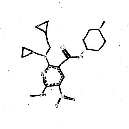 CNc1nc(N(CC2CC2)C2CC2)c(C(=O)N[C@H]2CC[C@H](C)CC2)cc1[N+](=O)[O-]